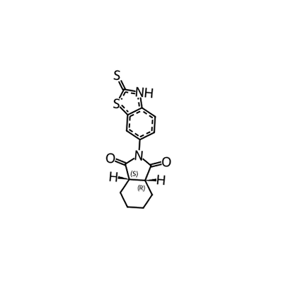 O=C1[C@H]2CCCC[C@H]2C(=O)N1c1ccc2[nH]c(=S)sc2c1